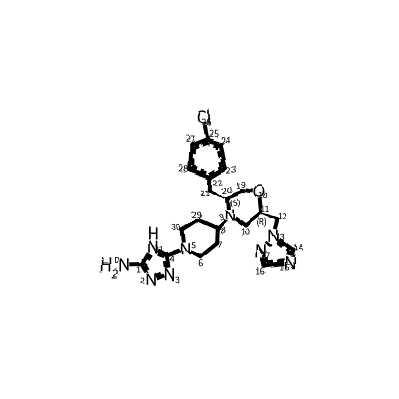 Nc1nnc(N2CCC(N3C[C@H](Cn4cncn4)OC[C@@H]3Cc3ccc(Cl)cc3)CC2)[nH]1